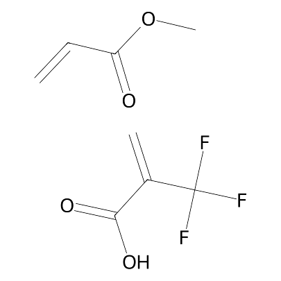 C=C(C(=O)O)C(F)(F)F.C=CC(=O)OC